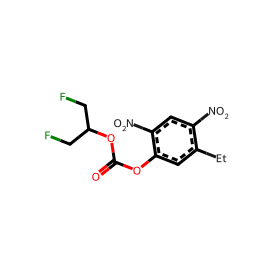 CCc1cc(OC(=O)OC(CF)CF)c([N+](=O)[O-])cc1[N+](=O)[O-]